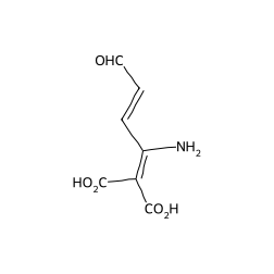 NC(C=CC=O)=C(C(=O)O)C(=O)O